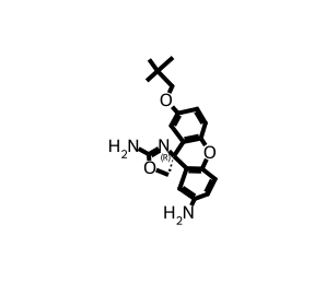 CC(C)(C)COc1ccc2c(c1)[C@@]1(COC(N)=N1)c1cc(N)ccc1O2